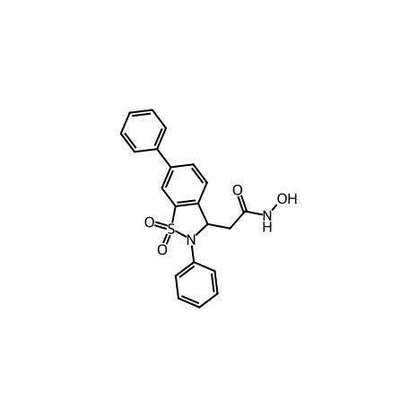 O=C(CC1c2ccc(-c3ccccc3)cc2S(=O)(=O)N1c1ccccc1)NO